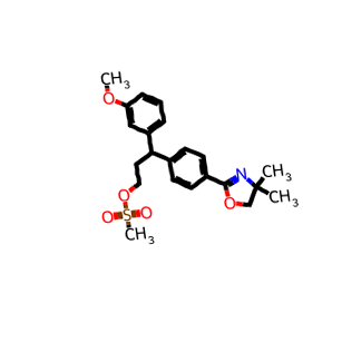 COc1cccc(C(CCOS(C)(=O)=O)c2ccc(C3=NC(C)(C)CO3)cc2)c1